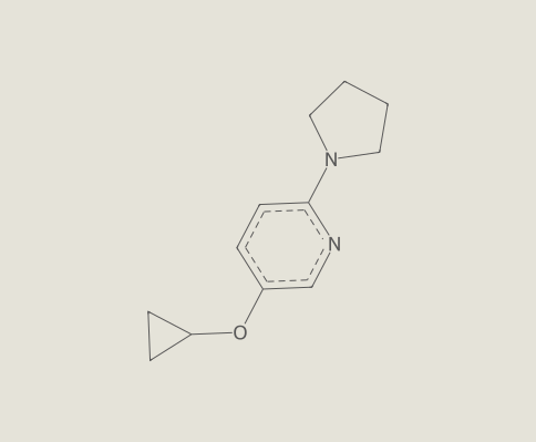 c1cc(N2CCCC2)ncc1OC1CC1